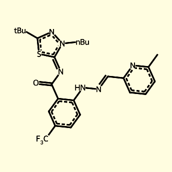 CCCCn1nc(C(C)(C)C)sc1=NC(=O)c1cc(C(F)(F)F)ccc1NN=Cc1cccc(C)n1